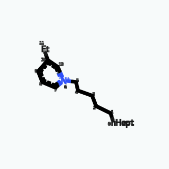 CCCCCCCCCCCC[n+]1cccc(CC)c1